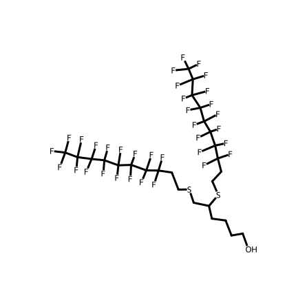 OCCCCC(CSCCC(F)(F)C(F)(F)C(F)(F)C(F)(F)C(F)(F)C(F)(F)C(F)(F)C(F)(F)F)SCCC(F)(F)C(F)(F)C(F)(F)C(F)(F)C(F)(F)C(F)(F)C(F)(F)C(F)(F)F